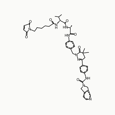 CC(C)[C@H](NC(=O)CCCCCN1C(=O)C=CC1=O)C(=O)N[C@@H](C)C(=O)Nc1ccc(CN2N=C(c3ccc(NC(=O)N4Cc5ccncc5C4)cc3)CC(C)(C)C2=O)cc1